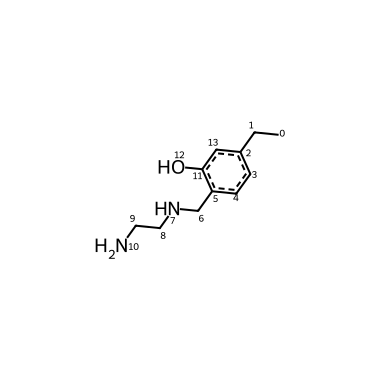 CCc1ccc(CNCCN)c(O)c1